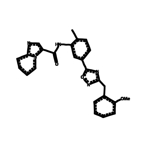 COc1ccccc1Cc1noc(-c2ccc(C)c(NC(=O)c3cnc4ccccn34)c2)n1